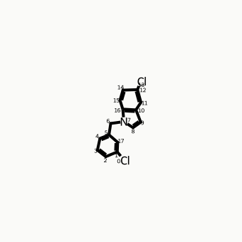 Clc1cccc(Cn2ccc3cc(Cl)ccc32)c1